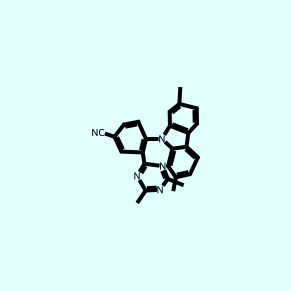 Cc1ccc2c3ccc(C)cc3n(-c3ccc(C#N)cc3-c3nc(C)nc(C)n3)c2c1